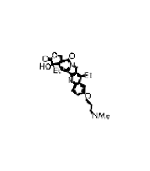 CCc1c2c(nc3ccc(OCCCNC)cc13)-c1cc3c(c(=O)n1C2)COC(=O)[C@]3(O)CC